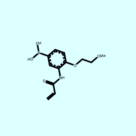 C=CC(=O)Nc1cc(B(O)O)ccc1OCCOC